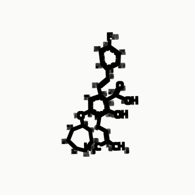 CC(C)=CCc1c(OC2CCCCCC2)cc(C=Cc2ccc(F)cc2)c(C(=O)O)c1O